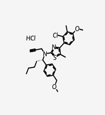 C#CCN(c1nc(-c2ccc(OC)c(C)c2Cl)c(C)s1)[C@@H](CCCC)c1ccc(COC)cc1.Cl